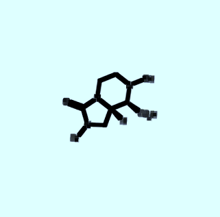 CCN1C[C@H]2[C@H](C(=O)O)N(O)CCN2C1=O